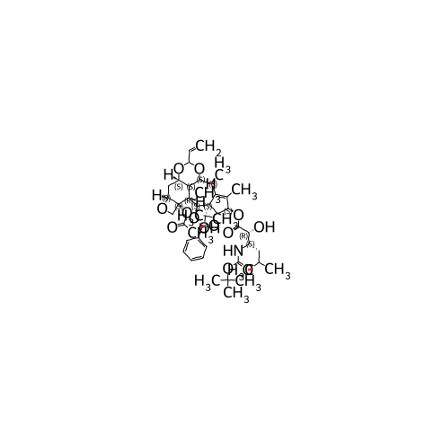 C=CC1O[C@H]2C[C@H]3OC[C@@]3(OC(C)=O)[C@H]3[C@H](OC(=O)c4ccccc4)[C@]4(C(C)(C)O)C[C@H](OC(=O)[C@H](O)[C@H](CC(C)C)NC(=O)OC(C)(C)C)C(C)=C4[C@H](C)[C@H](O1)[C@]23C